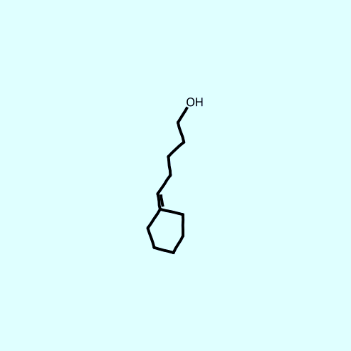 OCCCCC=C1CCCCC1